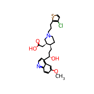 COc1ccc2nccc([C@@H](O)CC[C@@H]3CCN(CCCc4sccc4Cl)C[C@@H]3CC(=O)O)c2c1